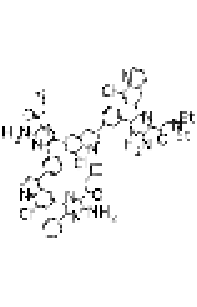 CCN(CC)CC(=O)c1nc(-c2cc(Cl)c3ncccc3c2)c(-c2cccc(-c3cnc4c(Cl)cc(-c5nc(C(=O)CC6CC6)c(N)nc5-c5cccc(-c6ccnc7c(Cl)cc(-c8nc(C(=O)CC9CCC9)c(N)nc8-c8ccccc8)cc67)c5)cc4c3)c2)nc1N